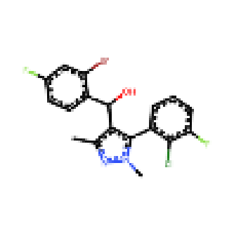 Cc1nn(C)c(-c2cccc(F)c2Cl)c1C(O)c1ccc(F)cc1Br